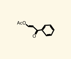 CC(=O)OC=CC(=O)c1ccccc1